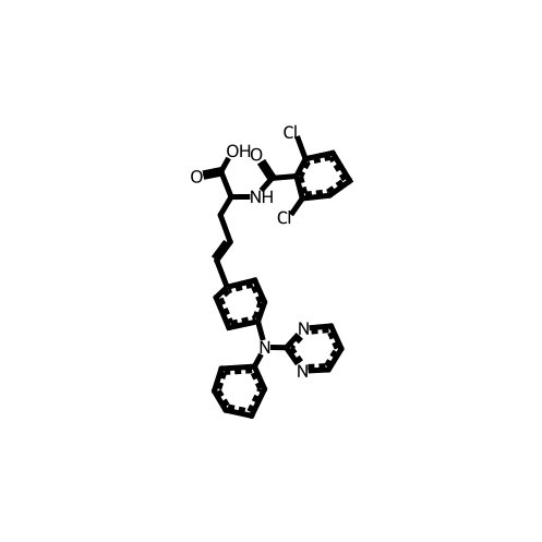 O=C(NC(C/C=C/c1ccc(N(c2ccccc2)c2ncccn2)cc1)C(=O)O)c1c(Cl)cccc1Cl